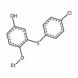 CCOc1ccc(O)cc1Sc1ccc(Cl)cc1